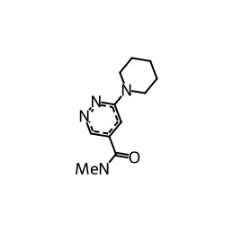 CNC(=O)c1cnnc(N2CCCCC2)c1